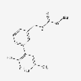 CC/C(C)=C\C(=C(/C)O)c1cccc(CNC(=O)OC(C)(C)C)c1